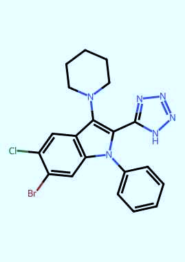 Clc1cc2c(N3CCCCC3)c(-c3nnn[nH]3)n(-c3ccccc3)c2cc1Br